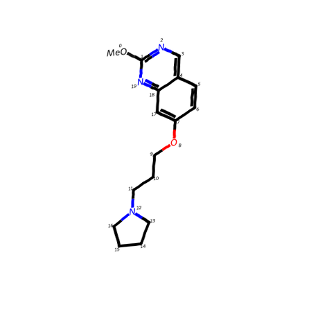 COc1ncc2ccc(OCCCN3CCCC3)cc2n1